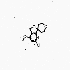 COc1cc(Cl)nc2c1COC21CCOCC1